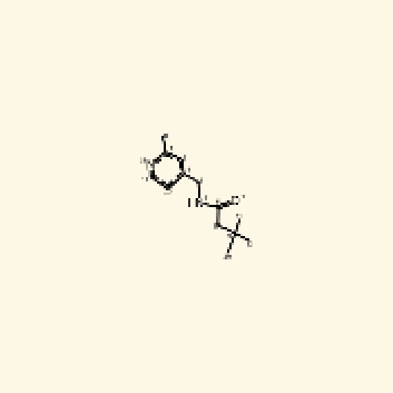 Cc1cc(CNC(=O)CC(C)(C)C)ccn1